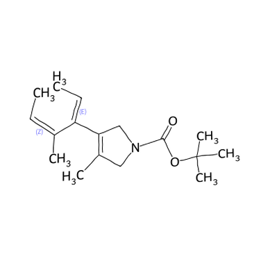 C/C=C(C)\C(=C/C)C1=C(C)CN(C(=O)OC(C)(C)C)C1